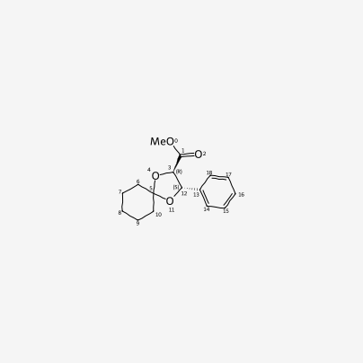 COC(=O)[C@@H]1OC2(CCCCC2)O[C@H]1c1ccccc1